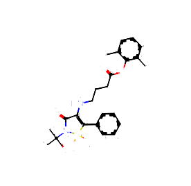 Cc1cccc(C)c1OC(=O)CCCNC1=C(c2ccccc2)S(O)(O)N(C(C)(C)C)C1=O